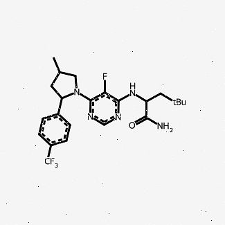 CC1CC(c2ccc(C(F)(F)F)cc2)N(c2ncnc(NC(CC(C)(C)C)C(N)=O)c2F)C1